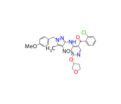 COc1ccc(Cn2nc(Nc3cc(OC4CCOC4)ncc3C(=O)c3ccccc3Cl)c([N+](=O)[O-])c2C)cc1